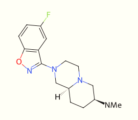 CN[C@H]1CC[C@H]2CN(c3noc4ccc(F)cc34)CCN2C1